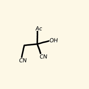 CC(=O)C(O)(C#N)CC#N